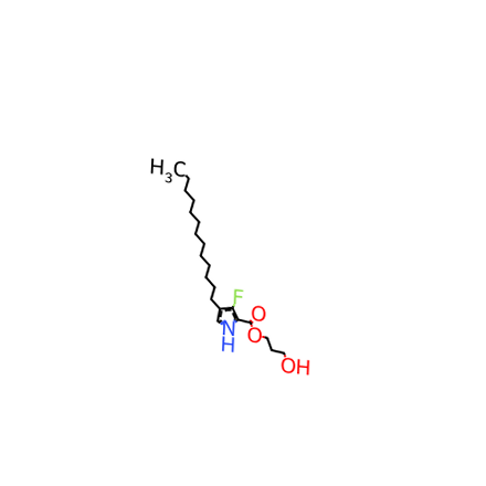 CCCCCCCCCCCCCc1c[nH]c(C(=O)OCCCO)c1F